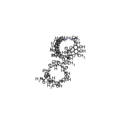 CO[C@H]1/C=C/O[C@@]2(C)Oc3c(C)c(O)c4c(O)c(cc(OCC(=O)NCCNC(C)C(=O)NCC5NC(=O)CNC(=O)C(O)CNC(=O)C(C(C)O)NC(=O)C(C(O)C(O)C(N)=O)NC(=O)C(C(C)C)CC(=O)C(CO)NC5=O)c4c3C2=O)NC(=O)/C(C)=C\C=C\[C@H](C)[C@H](O)[C@@H](C)[C@@H](O)[C@@H](C)[C@H](OC(C)=O)[C@@H]1C